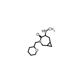 CNC1CC2CC2CN(CC2CCCCO2)C1=O